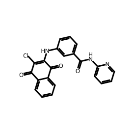 O=C(Nc1ccccn1)c1cccc(NC2=C(Cl)C(=O)c3ccccc3C2=O)c1